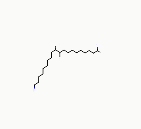 CCCCCCCCC(CCCCCCCCCN)C(CCCCCCCC)CCCCCCCCC(C)N